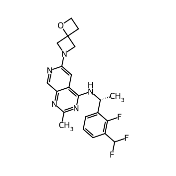 Cc1nc(N[C@H](C)c2cccc(C(F)F)c2F)c2cc(N3CC4(CCO4)C3)ncc2n1